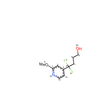 COc1cc(C(F)(F)CCCO)ccn1